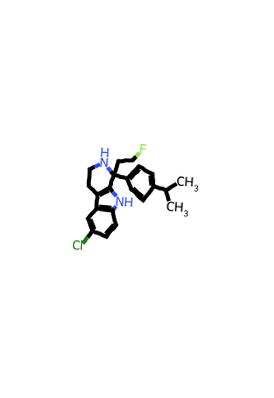 CC(C)c1ccc(C2(CCF)NCCc3c2[nH]c2ccc(Cl)cc32)cc1